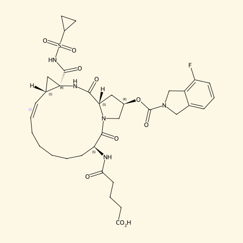 O=C(O)CCCC(=O)N[C@H]1CCCCC/C=C\[C@@H]2C[C@@]2(C(=O)NS(=O)(=O)C2CC2)NC(=O)[C@@H]2C[C@@H](OC(=O)N3Cc4cccc(F)c4C3)CN2C1=O